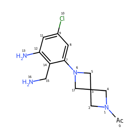 CC(=O)N1CC2(C1)CN(c1cc(Cl)cc(N)c1CN)C2